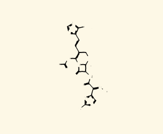 Cc1ncsc1C=CC1=C(OC(=O)O)N2C(=O)C(NC(=O)C(=NO)c3csc(N)n3)[C@@H]2SC1